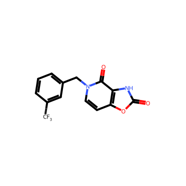 O=c1[nH]c2c(=O)n(Cc3cccc(C(F)(F)F)c3)ccc2o1